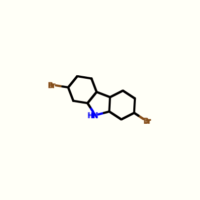 BrC1CCC2C(C1)NC1CC(Br)CCC12